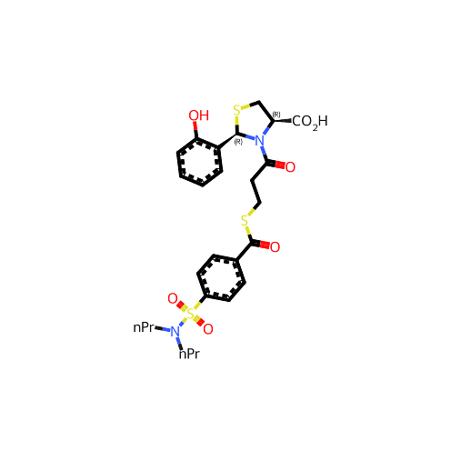 CCCN(CCC)S(=O)(=O)c1ccc(C(=O)SCCC(=O)N2[C@@H](c3ccccc3O)SC[C@H]2C(=O)O)cc1